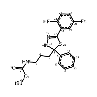 CC(C)(C)OC(=O)NCCCC1(c2ccccc2)NN=C(c2cc(F)ccc2F)S1